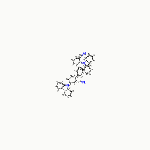 N#Cc1cc(-n2c3ccccc3c3ccccc32)ccc1-c1cccc(-c2cccc(C#N)c2-n2c3ccccc3c3ccccc32)c1